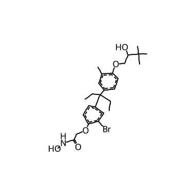 CCC(CC)(c1ccc(OCC(O)C(C)(C)C)c(C)c1)c1ccc(OCC(=O)NO)c(Br)c1